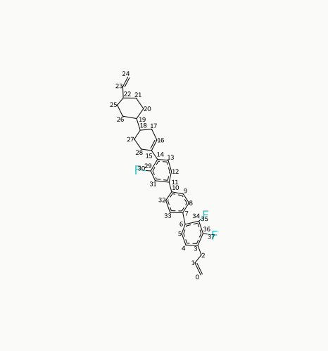 C=CCc1ccc(-c2ccc(-c3ccc(C4=CCC(C5CCC(C=C)CC5)CC4)c(F)c3)cc2)c(F)c1F